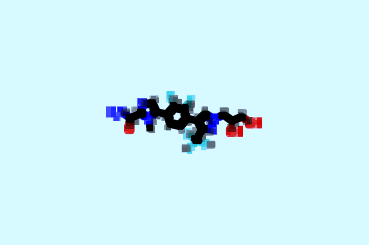 Cn1c(-c2ccc(-c3cn(C[C@H](O)CO)nc3C(F)(F)F)c(F)c2F)cnc1C(N)=O